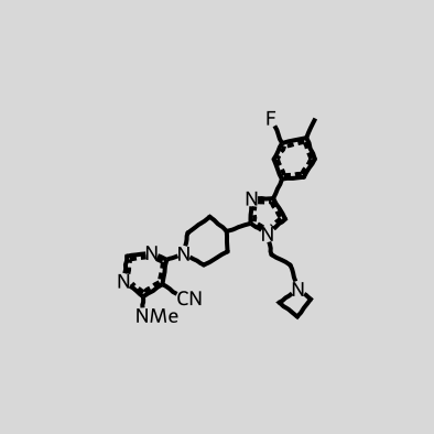 CNc1ncnc(N2CCC(c3nc(-c4ccc(C)c(F)c4)cn3CCN3CCC3)CC2)c1C#N